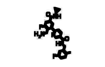 Cc1ccc(F)cc1CNC(=O)c1ccc(-c2cc(C(=O)NC3CC3)cc(F)c2CN)nc1